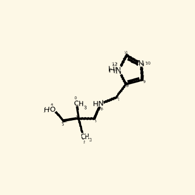 CC(C)(CO)CNCc1cnc[nH]1